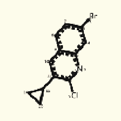 Clc1nc2cc(Br)ccc2cc1C1CC1